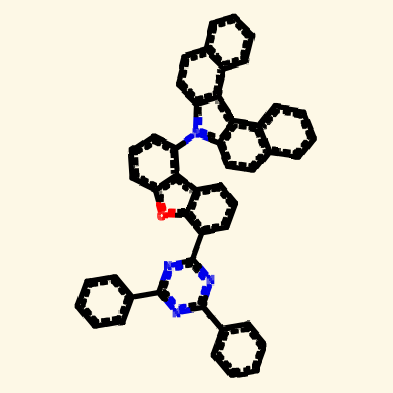 c1ccc(-c2nc(-c3ccccc3)nc(-c3cccc4c3oc3cccc(-n5c6ccc7ccccc7c6c6c7ccccc7ccc65)c34)n2)cc1